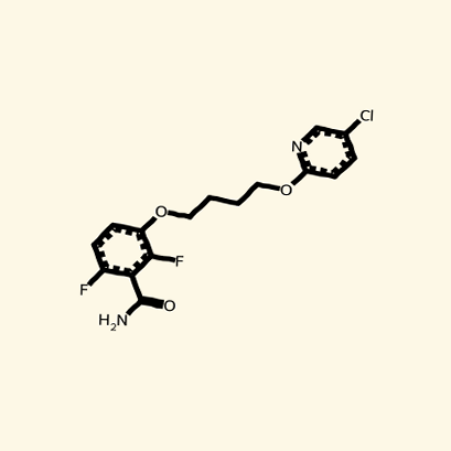 NC(=O)c1c(F)ccc(OCCCCOc2ccc(Cl)cn2)c1F